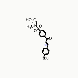 CN(CC(=O)O)S(=O)(=O)c1ccc(C(=O)/C=C/c2ccc(C(C)(C)C)cc2)cc1